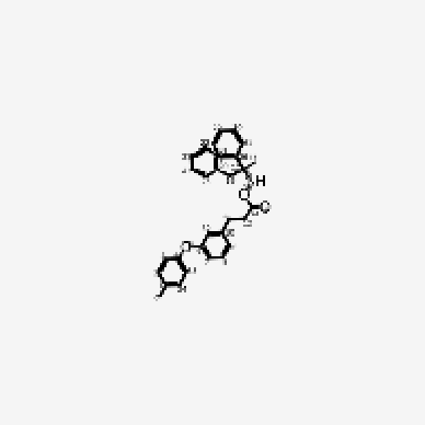 Cc1ccc(Oc2cccc(CCC(=O)ON[C@](C)(Cc3ccccc3)c3ccccc3)c2)cc1